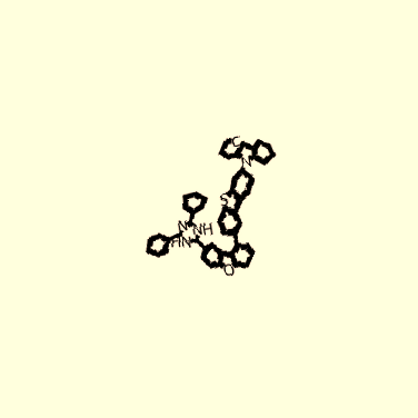 c1ccc(C2=NC(c3ccccc3)NC(c3ccc4oc5cccc(-c6ccc7sc8cc(-n9c%10ccccc%10c%10ccccc%109)ccc8c7c6)c5c4c3)N2)cc1